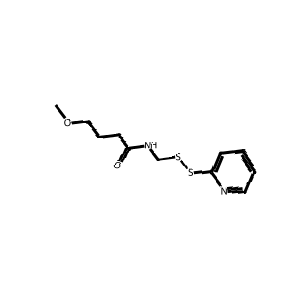 COCCCC(=O)NCSSc1ccccn1